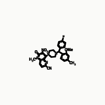 COc1cc(C)ccc1C(c1ccc(F)cc1)N1CCN(c2c([N+](=O)[O-])c(=O)n(C)c3ccc(C#N)nc23)CC1